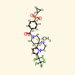 CN1CCn2c(ccc2C(F)(F)C(F)(F)F)C12CCN(C(=O)c1ccc(S(=O)(=O)C3CC3)cc1)CC2